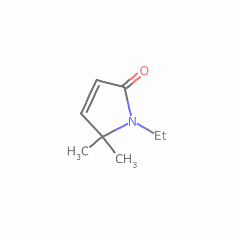 CCN1C(=O)C=CC1(C)C